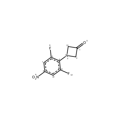 O=C1CN(c2c(F)cc([N+](=O)[O-])cc2F)C1